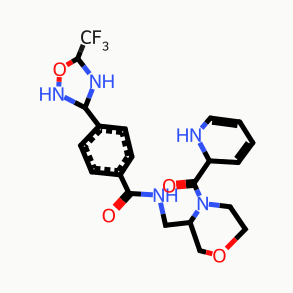 O=C(NCC1COCCN1C(=O)C1C=CC=CN1)c1ccc(C2NOC(C(F)(F)F)N2)cc1